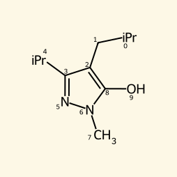 CC(C)Cc1c(C(C)C)nn(C)c1O